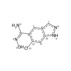 N/C(=N/O)c1cc2cn[nH]c2cc1Cl